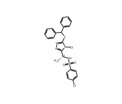 CCn1c(SC(c2ccccc2)c2ccccc2)nnc1[C@@H](C)NS(=O)(=O)c1ccc(Cl)cc1